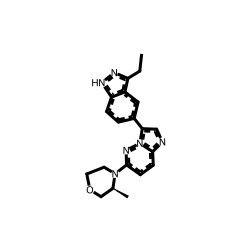 CCc1n[nH]c2ccc(-c3cnc4ccc(N5CCOC[C@@H]5C)nn34)cc12